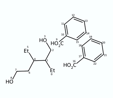 CCC(CO)C(CC)CCO.O=C(O)c1ccccc1.O=C(O)c1ccccc1